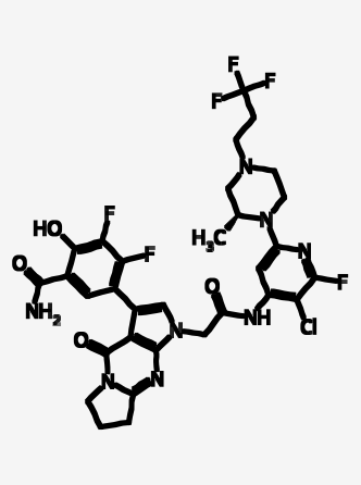 C[C@H]1CN(CCC(F)(F)F)CCN1c1cc(NC(=O)Cn2cc(-c3cc(C(N)=O)c(O)c(F)c3F)c3c(=O)n4c(nc32)CCC4)c(Cl)c(F)n1